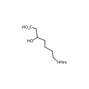 CCCCCCCCCCC(O)CC(=O)O